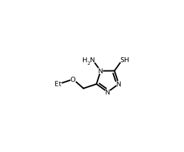 CCOCc1nnc(S)n1N